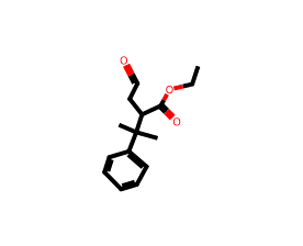 CCOC(=O)C(CC=O)C(C)(C)c1ccccc1